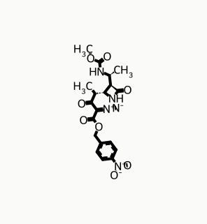 COC(=O)N[C@H](C)[C@H]1C(=O)N[C@@H]1C(C)C(=O)C(=[N+]=[N-])C(=O)OCc1ccc([N+](=O)[O-])cc1